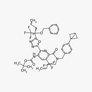 C=CCCN(Cc1ccc(C23CC(C2)C3)cc1)C(=O)c1nc(-c2nnc([C@@](CC=C)(OCc3ccccc3)C(F)(F)F)o2)c(NC(=O)OC(C)(C)C)cc1C(F)(F)F